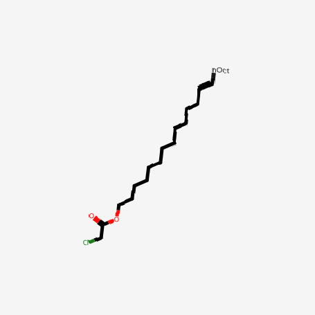 CCCCCCCCC=CCCCCCCCCCCCCOC(=O)CCl